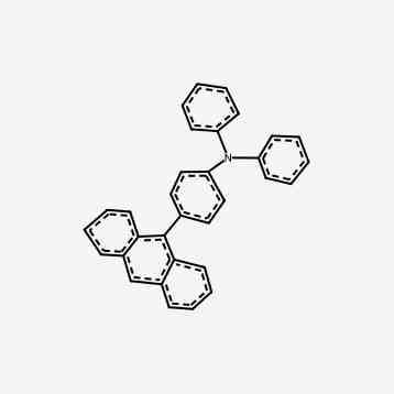 c1ccc(N(c2ccccc2)c2ccc(-c3c4ccccc4cc4ccccc34)cc2)cc1